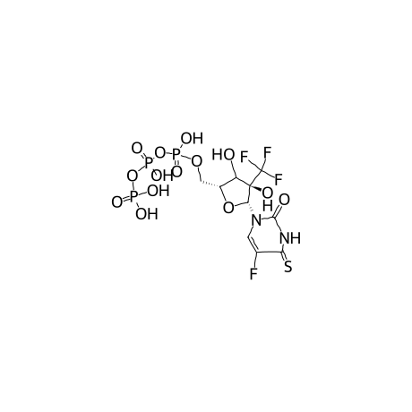 O=c1[nH]c(=S)c(F)cn1[C@@H]1O[C@H](COP(=O)(O)OP(=O)(O)OP(=O)(O)O)C(O)[C@]1(O)C(F)(F)F